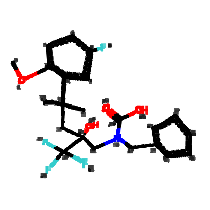 COc1ccc(F)cc1C(C)(C)C[C@@](O)(CN(Cc1ccccc1)C(=O)O)C(F)(F)F